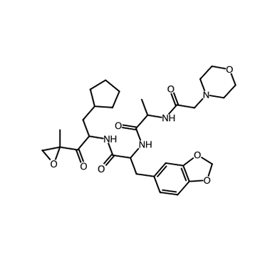 CC(NC(=O)CN1CCOCC1)C(=O)NC(Cc1ccc2c(c1)OCO2)C(=O)NC(CC1CCCC1)C(=O)C1(C)CO1